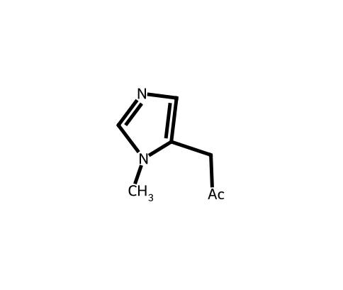 CC(=O)Cc1cncn1C